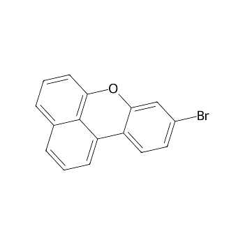 Brc1ccc2c(c1)Oc1cccc3cccc-2c13